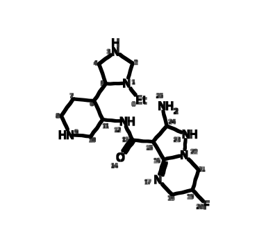 CCN1CNCC1C1CCNCC1NC(=O)C1C2=NCC(F)CN2NC1N